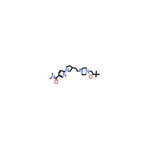 CN(C)C(=O)c1ccc(N2CCC(CCN3CCN(CC(=O)C(C)(C)C)CC3)C2)nc1